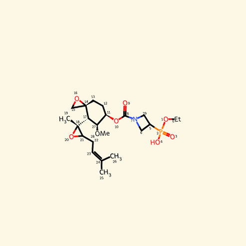 CCOP(=O)(O)C1CN(C(=O)O[C@@H]2CC[C@]3(CO3)[C@@H]([C@@]3(C)OC3CC=C(C)C)[C@@H]2OC)C1